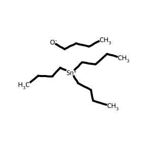 CCCC[O-].CCC[CH2][Sn+]([CH2]CCC)[CH2]CCC